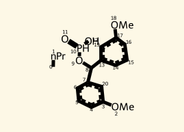 CCCC.COc1cccc(C(O[PH](=O)O)c2cccc(OC)c2)c1